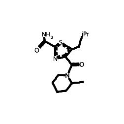 CC(C)Cc1sc(C(N)=O)nc1C(=O)N1CCCCC1C